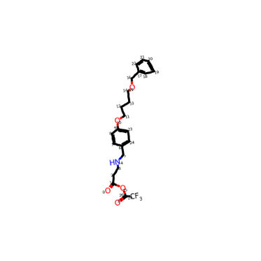 O=C(CCNCc1ccc(OCCCCOCc2ccccc2)cc1)OC(=O)C(F)(F)F